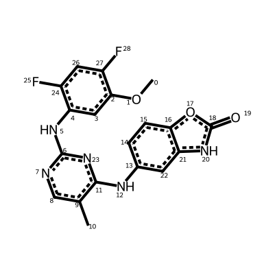 COc1cc(Nc2ncc(C)c(Nc3ccc4oc(=O)[nH]c4c3)n2)c(F)cc1F